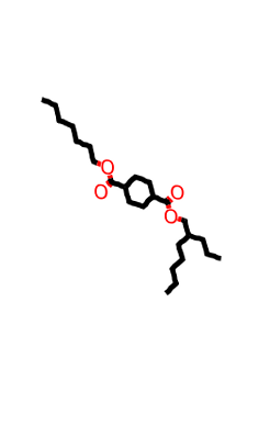 CCCCCCCOC(=O)C1CCC(C(=O)OCC(CCC)CCCCC)CC1